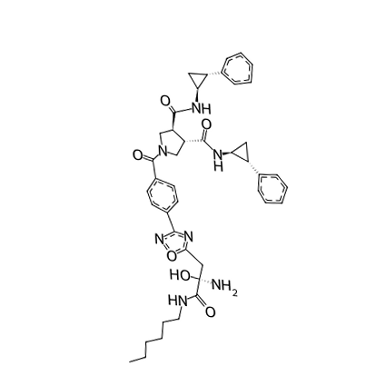 CCCCCCNC(=O)[C@@](N)(O)Cc1nc(-c2ccc(C(=O)N3C[C@@H](C(=O)N[C@H]4C[C@@H]4c4ccccc4)[C@H](C(=O)N[C@H]4C[C@@H]4c4ccccc4)C3)cc2)no1